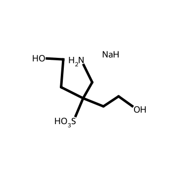 NCC(CCO)(CCO)S(=O)(=O)O.[NaH]